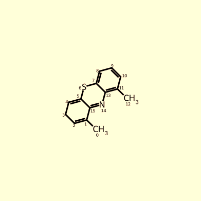 CC1=CCC=C2Sc3cccc(C)c3N=C12